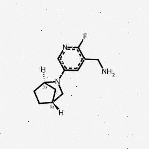 NCc1cc(N2C[C@@H]3CC[C@@H]2C3)cnc1F